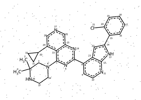 CC1(C)CN(c2nc(-c3ccnc4[nH]c(-c5ccccc5Cl)cc34)nc3cncc(C4CC4)c23)CCN1